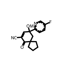 COC1(c2ccc(F)cn2)C=C(C#N)C(=O)C2(CCCC2)C1